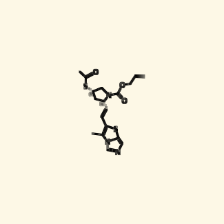 C=CCOC(=O)N1C[C@@H](SC(C)=O)C[C@H]1C=Cc1sc2cncn2c1C